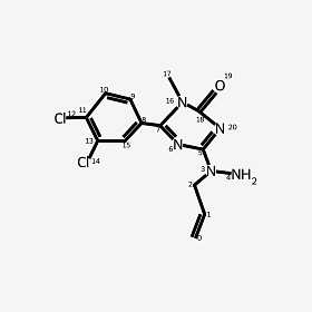 C=CCN(N)c1nc(-c2ccc(Cl)c(Cl)c2)n(C)c(=O)n1